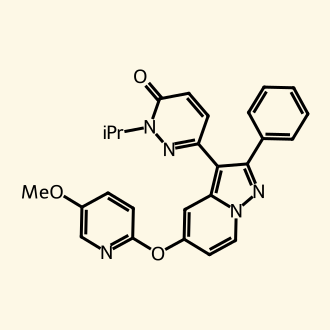 COc1ccc(Oc2ccn3nc(-c4ccccc4)c(-c4ccc(=O)n(C(C)C)n4)c3c2)nc1